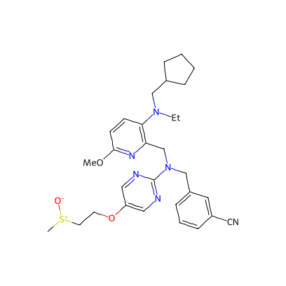 CCN(CC1CCCC1)c1ccc(OC)nc1CN(Cc1cccc(C#N)c1)c1ncc(OCC[S+](C)[O-])cn1